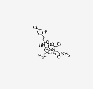 CC(C)C[C@@H](NC(=O)/C=C/c1ccc(Cl)cc1F)C(=O)NN(CCC(N)=O)C(=O)CCl